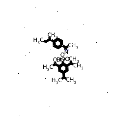 CCC(C)c1ccc(/C(C)=N\OS(=O)(=O)c2c(C(C)C)cc(C(C)C)cc2C(C)C)cc1